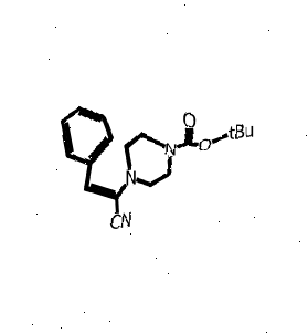 CC(C)(C)OC(=O)N1CCN(/C(C#N)=C\c2ccccc2)CC1